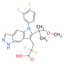 COCC(C)(C)c1c(CC(F)(F)C(=O)O)c2cc3[nH]ncc3cc2n1-c1ccc(F)c(F)c1